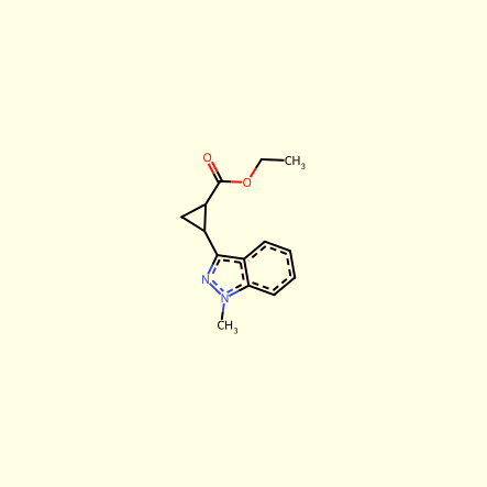 CCOC(=O)C1CC1c1nn(C)c2ccccc12